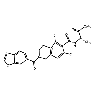 COC(=O)[C@H](C)NC(=O)c1c(Cl)cc2c(c1Cl)CCN(C(=O)c1ccc3ccoc3c1)C2